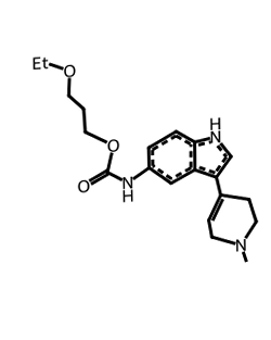 CCOCCCOC(=O)Nc1ccc2[nH]cc(C3=CCN(C)CC3)c2c1